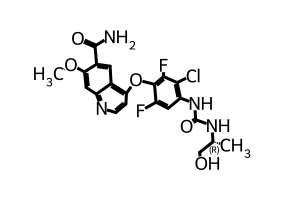 COc1cc2nccc(Oc3c(F)cc(NC(=O)N[C@H](C)CO)c(Cl)c3F)c2cc1C(N)=O